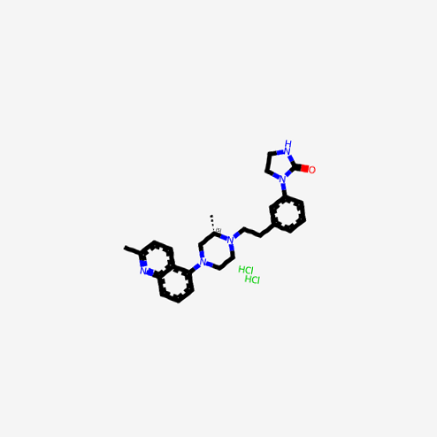 Cc1ccc2c(N3CCN(CCc4cccc(N5CCNC5=O)c4)[C@@H](C)C3)cccc2n1.Cl.Cl